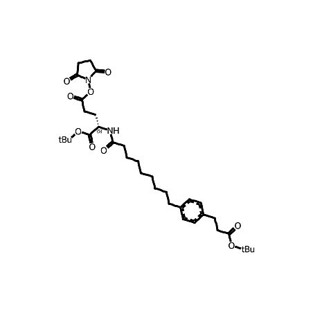 CC(C)(C)OC(=O)CCc1ccc(CCCCCCCCC(=O)N[C@@H](CCC(=O)ON2C(=O)CCC2=O)C(=O)OC(C)(C)C)cc1